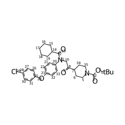 CC(C)(C)OC(=O)N1CCC(C(=O)CN(C(=O)C2CCCCC2)c2ccc(Oc3ccc(Cl)cc3)cc2)CC1